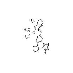 Cc1ccnc2c1nc(OC(C)C)n2Cc1ccc(-c2ccccc2-c2nnn[nH]2)cc1